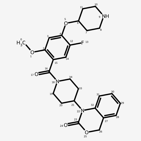 COc1cc(OC2CCNCC2)c(F)cc1C(=O)N1CCC(N2C(=O)OCc3ccccc32)CC1